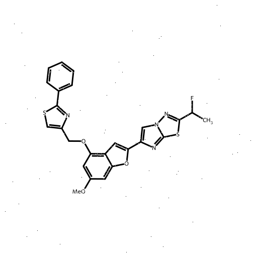 COc1cc(OCc2csc(-c3ccccc3)n2)c2cc(-c3cn4nc(C(C)F)sc4n3)oc2c1